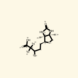 [2H]C(CC[C@@H]1SC[C@@H]2NC(=O)N[C@@H]21)C([2H])([2H])C(=O)O